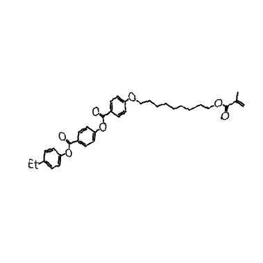 C=C(C)C(=O)OCCCCCCCCCOc1ccc(C(=O)Oc2ccc(C(=O)Oc3ccc(CC)cc3)cc2)cc1